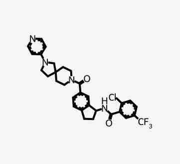 O=C(NC1CCc2ccc(C(=O)N3CCC4(CC3)CCN(c3ccncc3)C4)cc21)c1cc(C(F)(F)F)ccc1Cl